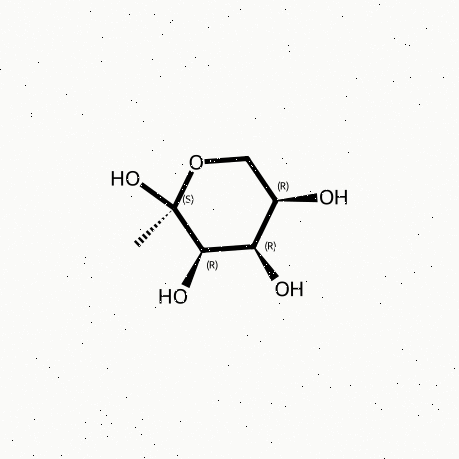 C[C@]1(O)OC[C@@H](O)[C@@H](O)[C@H]1O